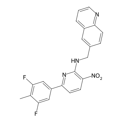 Cc1c(F)cc(-c2ccc([N+](=O)[O-])c(NCc3ccc4ncccc4c3)n2)cc1F